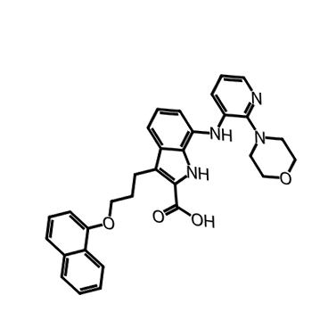 O=C(O)c1[nH]c2c(Nc3cccnc3N3CCOCC3)cccc2c1CCCOc1cccc2ccccc12